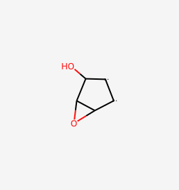 OC1[CH][CH]C2OC12